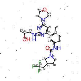 Cc1ccc(NC(=O)N2CCC(CC(F)(F)F)C2)cc1-c1cc(N2CCOCC2)nc(NCC(C)O)n1